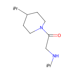 CC(C)NCC(=O)N1CCC(C(C)C)CC1